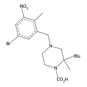 Cc1c(CN2CCN(C(=O)O)C(C)(C(C)(C)C)C2)cc(Br)cc1[N+](=O)[O-]